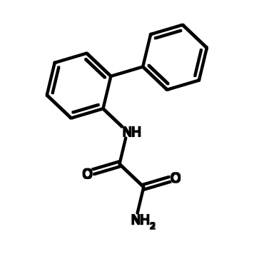 NC(=O)C(=O)Nc1ccccc1-c1ccccc1